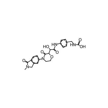 CN1Cc2cc(N3CCOC(C(O)C(=O)Nc4ccc(CNC(=O)O)cc4)C3=O)ccc2C1=O